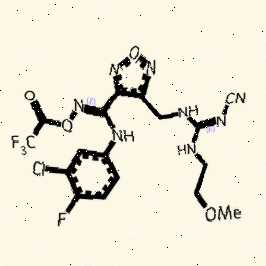 COCCN/C(=N/C#N)NCc1nonc1/C(=N/OC(=O)C(F)(F)F)Nc1ccc(F)c(Cl)c1